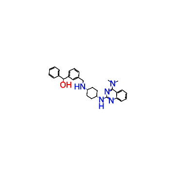 CN(C)c1nc(N[C@H]2CC[C@@H](NCc3cccc(C(O)c4ccccc4)c3)CC2)nc2ccccc12